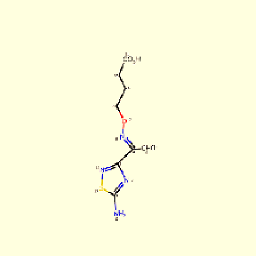 Nc1nc(C([C]=O)=NOCCCC(=O)O)ns1